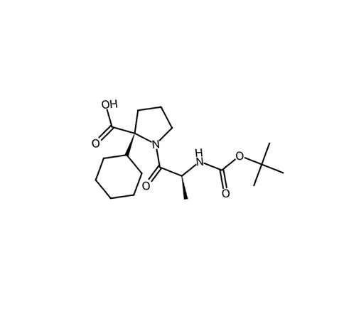 C[C@H](NC(=O)OC(C)(C)C)C(=O)N1CCC[C@]1(C(=O)O)C1CCCCC1